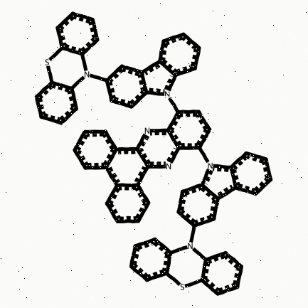 c1ccc2c(c1)Sc1ccccc1N2c1ccc2c(c1)c1ccccc1n2-c1ccc(-n2c3ccccc3c3cc(N4c5ccccc5Sc5ccccc54)ccc32)c2nc3c4ccccc4c4ccccc4c3nc12